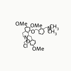 COc1ccc(CC2c3c(cc(OC)c(OC)c3OCc3cccc(CN(C)C)c3)CCN2C(=O)CCl)cc1